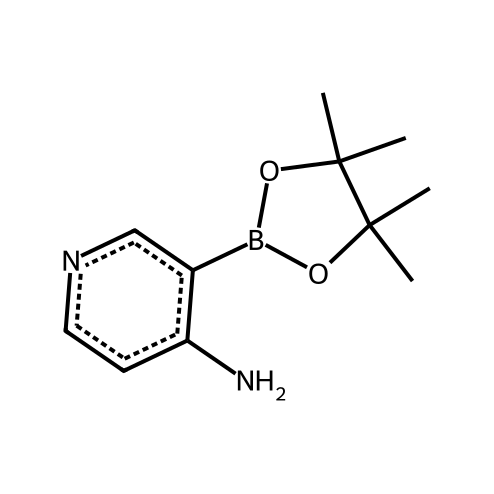 CC1(C)OB(c2cnccc2N)OC1(C)C